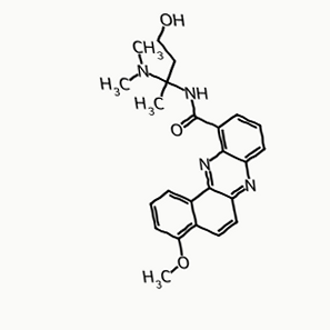 COc1cccc2c1ccc1nc3cccc(C(=O)NC(C)(CCO)N(C)C)c3nc12